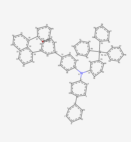 c1ccc(-c2ccc(N(c3ccc(-c4cccc(-c5cccc6cccc(-c7ccccc7)c56)c4)cc3)c3cccc([Si](c4ccccc4)(c4ccccc4)c4ccccc4)c3)cc2)cc1